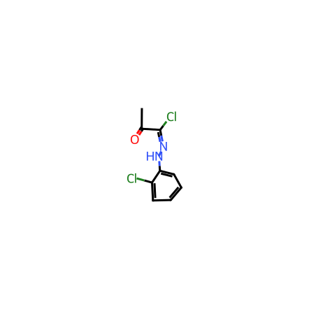 CC(=O)/C(Cl)=N\Nc1ccccc1Cl